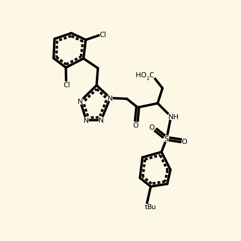 CC(C)(C)c1ccc(S(=O)(=O)NC(CC(=O)O)C(=O)Cn2nnnc2Cc2c(Cl)cccc2Cl)cc1